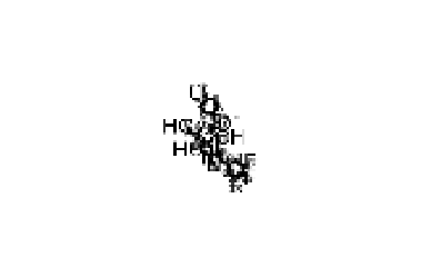 [O-][S+](c1ccc(Cl)cc1)[C@H]1OC(CO)[C@H](O)[C@H](n2cc(-c3cc(F)c(F)c(F)c3)nn2)C1O